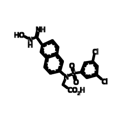 N=C(NO)c1ccc2cc(N(CC(=O)O)S(=O)(=O)c3cc(Cl)cc(Cl)c3)ccc2c1